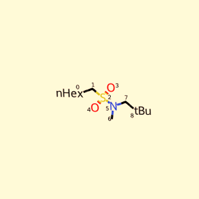 CCCCCCCS(=O)(=O)N(C)CC(C)(C)C